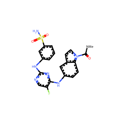 CNC(=O)n1ccc2cc(Nc3nc(Nc4cccc(S(N)(=O)=O)c4)ncc3F)ccc21